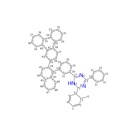 CC1C=CC=CC1C1N=C(c2ccccc2)N=C(c2cccc(-c3c(-c4ccc5c6ccccc6c6ccccc6c5c4)ccc4ccccc34)c2)N1